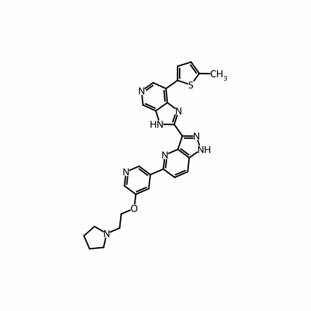 Cc1ccc(-c2cncc3[nH]c(-c4n[nH]c5ccc(-c6cncc(OCCN7CCCC7)c6)nc45)nc23)s1